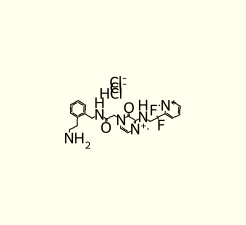 Cl.NCCc1ccccc1CNC(=O)CN1C=C[N+]=C(NCC(F)(F)C2=CC=CC=[N+]2)C1=O.[Cl-].[Cl-]